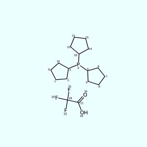 C1CCC(P(C2CCCC2)C2CCCC2)C1.O=C(O)C(F)(F)F